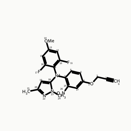 C#CCOc1ccc(N(c2c(F)cc(OC)cc2F)c2cc(C)nn2C)c([N+](=O)[O-])c1